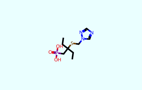 CCC(CC)(CP(=O)(O)O)SCn1cncn1